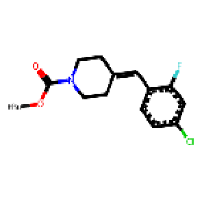 CC(C)(C)OC(=O)N1CCC(=Cc2ccc(Cl)cc2F)CC1